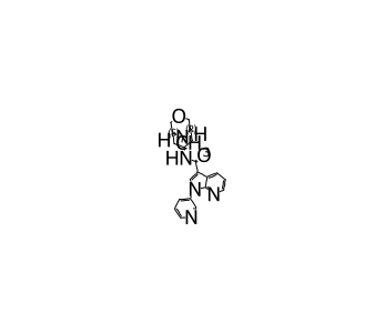 CN1[C@@H]2COC[C@H]1CC(NC(=O)c1cn(-c3cccnc3)c3ncccc13)C2